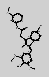 COc1cccc(NC(=O)CC2=C(C)C(=Cc3cc(OC)c(O)c(OC)c3)c3ccc(F)cc32)c1